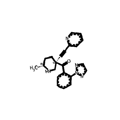 C[C@@H]1CC[C@@](C#Cc2ccccn2)(C(=O)c2ccccc2-n2nccn2)CN1